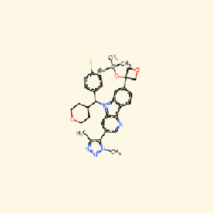 Cc1nnn(C)c1-c1cnc2c3ccc(C4(O[Si](C)(C)C(C)(C)C)COC4)cc3n([C@H](c3ccc(F)cc3)C3CCOCC3)c2c1